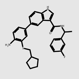 CC(NC(=O)c1c[nH]c2ccc(-c3ccc(N)c(SCC4CCCC4)c3)cc12)c1cccc(F)c1